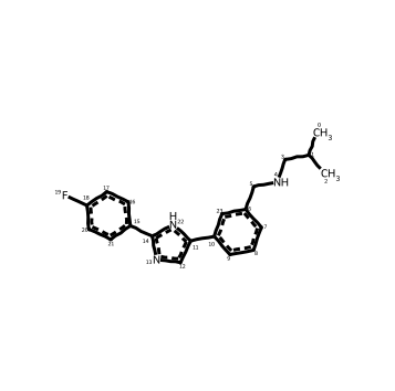 CC(C)CNCc1cccc(-c2cnc(-c3ccc(F)cc3)[nH]2)c1